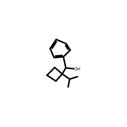 CC(C)C1(C(O)c2[c]cccc2)CCC1